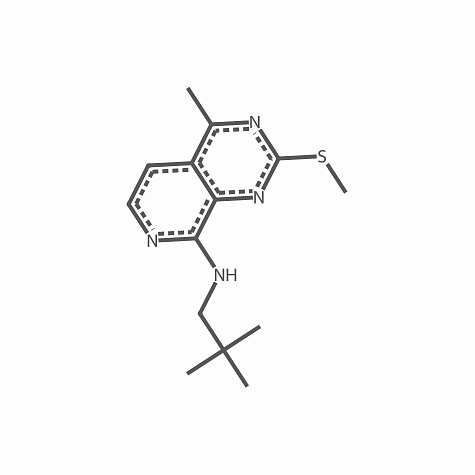 CSc1nc(C)c2ccnc(NCC(C)(C)C)c2n1